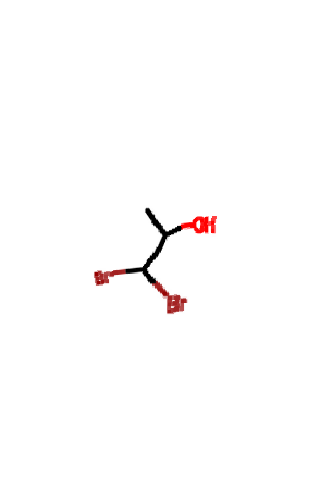 CC(O)C(Br)Br